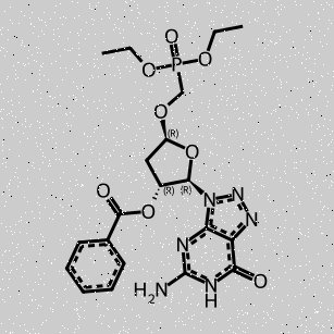 CCOP(=O)(CO[C@@H]1C[C@@H](OC(=O)c2ccccc2)[C@H](n2nnc3c(=O)[nH]c(N)nc32)O1)OCC